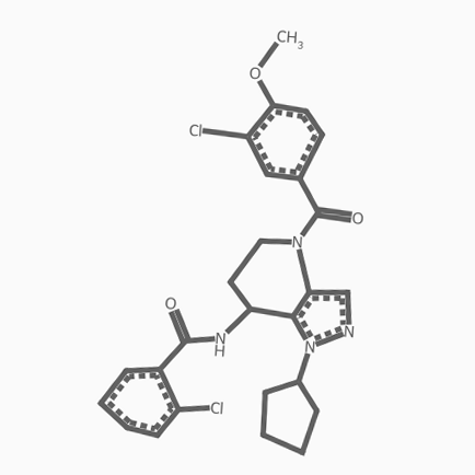 COc1ccc(C(=O)N2CCC(NC(=O)c3ccccc3Cl)c3c2cnn3C2CCCC2)cc1Cl